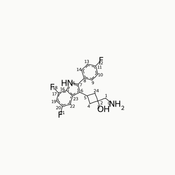 NCC1(O)CC(c2c(-c3ccc(F)cc3)[nH]c3c(F)cc(F)cc23)C1